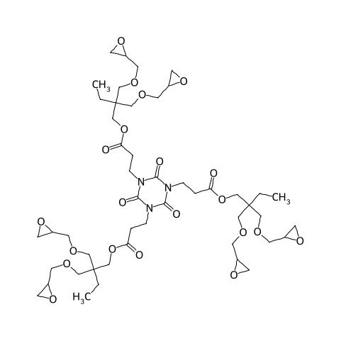 CCC(COCC1CO1)(COCC1CO1)COC(=O)CCn1c(=O)n(CCC(=O)OCC(CC)(COCC2CO2)COCC2CO2)c(=O)n(CCC(=O)OCC(CC)(COCC2CO2)COCC2CO2)c1=O